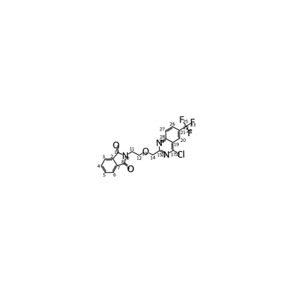 O=C1c2ccccc2C(=O)N1CCOCc1nc(Cl)c2cc(C(F)(F)F)ccc2n1